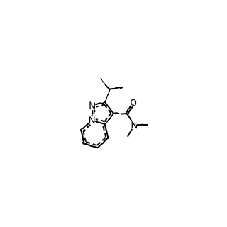 CC(C)c1nn2ccccc2c1C(=O)N(C)C